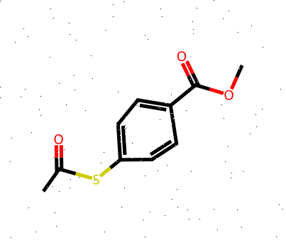 COC(=O)c1ccc(SC(C)=O)cc1